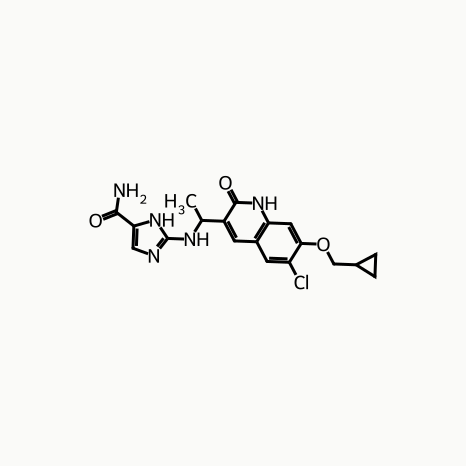 CC(Nc1ncc(C(N)=O)[nH]1)c1cc2cc(Cl)c(OCC3CC3)cc2[nH]c1=O